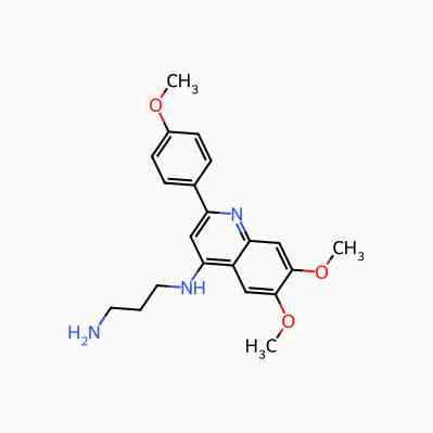 COc1ccc(-c2cc(NCCCN)c3cc(OC)c(OC)cc3n2)cc1